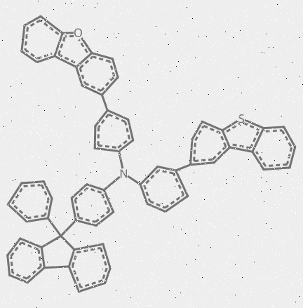 c1ccc(C2(c3ccc(N(c4ccc(-c5ccc6oc7ccccc7c6c5)cc4)c4cccc(-c5ccc6sc7ccccc7c6c5)c4)cc3)c3ccccc3-c3ccccc32)cc1